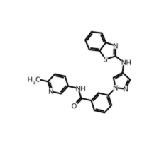 Cc1ccc(NC(=O)c2cccc(-n3cc(Nc4nc5ccccc5s4)cn3)c2)cn1